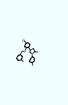 Cc1ccc(N2CC(c3ccc(Cl)cc3OCc3cccc(C)c3)CC2=O)cc1